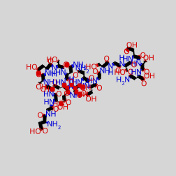 NC(=O)C[C@H](NC(=O)[C@H](CO)NC(=O)[C@H](CC(=O)O)NC(=O)[C@H](CO)NC(=O)CNC(=O)[C@H](CO)NC(=O)CNC(=O)[C@H](CC(=O)O)NC(=O)[C@H](CC(N)=O)NC(=O)[C@H](CO)NC(=O)[C@H](CC(=O)O)NC(=O)[C@H](CO)NC(=O)[C@H](CC(=O)O)NC(=O)[C@H](CC(N)=O)NC(=O)[C@H](CO)NC(=O)[C@H](CC(=O)O)NC(=O)[C@H](CO)NC(=O)CNC(=O)[C@H](CO)NC(=O)CNC(=O)[C@@H](N)CC(=O)O)C(=O)O